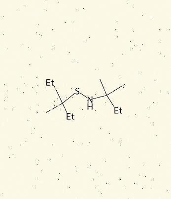 CCC(C)(C)NSC(C)(CC)CC